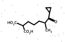 CC(CCCC(C(=O)O)C(=O)O)C(=O)C1CC1